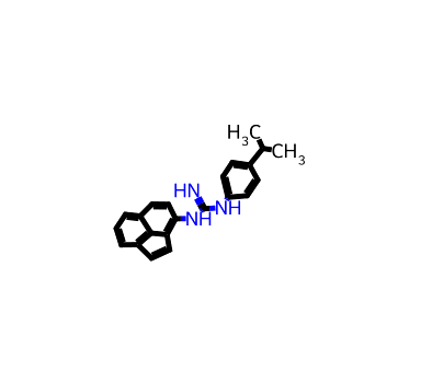 CC(C)c1ccc(NC(=N)Nc2ccc3cccc4c3c2C=C4)cc1